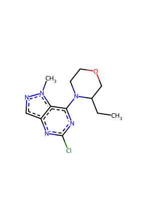 CCC1COCCN1c1nc(Cl)nc2cnn(C)c12